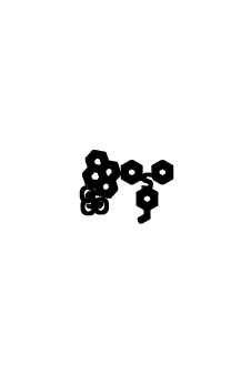 CCc1ccc([S+](c2ccccc2)c2ccccc2)cc1.O=S(=O)([O-])c1ccc2ccc3cccc4ccc1c2c34